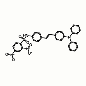 O=[N+]([O-])c1ccc(S(=O)(=O)Nc2ccc(/C=C/c3ccc(N(c4ccccc4)c4ccccc4)cc3)cc2)c([N+](=O)[O-])c1